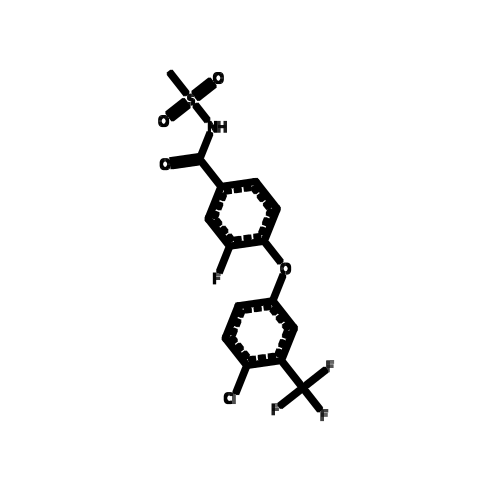 CS(=O)(=O)NC(=O)c1ccc(Oc2ccc(Cl)c(C(F)(F)F)c2)c(F)c1